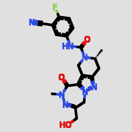 C[C@@H]1Cc2nn3c(c2CN1C(=O)Nc1ccc(F)c(C#N)c1)C(=O)N(C)N=C(CO)C3